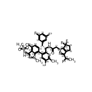 Cc1nc([C@H](Cc2cc(F)cc(F)c2)NC(=O)Cn2nc(C(C)F)c3c2C(F)(F)CC3)c(-c2ccc(Cl)c3c(NS(C)(=O)=O)nn(C)c23)cc1I